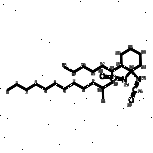 CCCCCCCCCCC(C)CC(CCCCC)C1CCCCC1(N=C=O)N=C=O